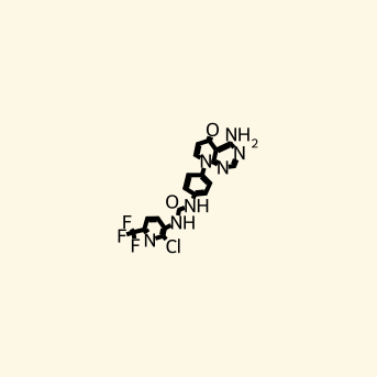 Nc1ncnc2c1c(=O)ccn2-c1ccc(NC(=O)Nc2ccc(C(F)(F)F)nc2Cl)cc1